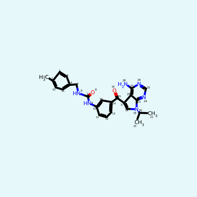 Cc1ccc(CNC(=O)Nc2cccc(C(=O)c3cn(C(C)C)c4ncnc(N)c34)c2)cc1